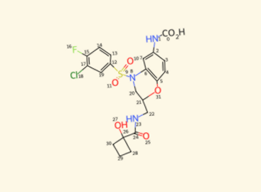 O=C(O)Nc1ccc2c(c1)N(S(=O)(=O)c1ccc(F)c(Cl)c1)CC(CNC(=O)C1(O)CCC1)O2